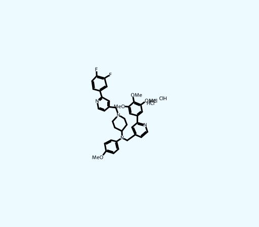 COc1ccc(N(Cc2ccnc(-c3cc(OC)c(OC)c(OC)c3)c2)C2CCN(Cc3ccnc(-c4ccc(F)c(F)c4)c3)CC2)cc1.Cl.Cl.Cl